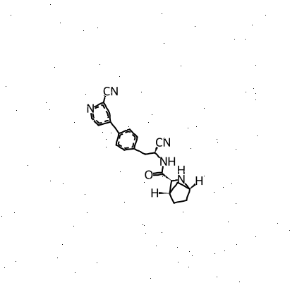 N#Cc1cc(-c2ccc(C[C@@H](C#N)NC(=O)[C@H]3N[C@@H]4CC[C@H]3C4)cc2)ccn1